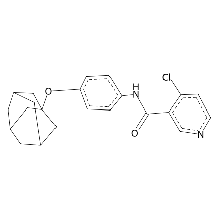 O=C(Nc1ccc(OC23CC4CC(CC(C4)C2)C3)cc1)c1cnccc1Cl